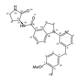 COc1ccc(Cc2ccnc(N3CCc4c(C(=O)N[C@H]5CCNC5=O)cccc43)c2)cc1F